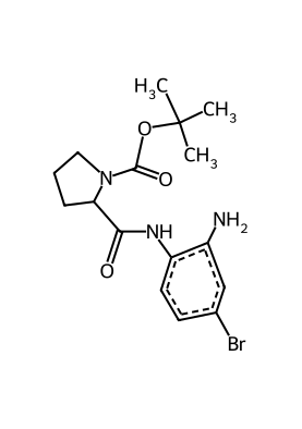 CC(C)(C)OC(=O)N1CCCC1C(=O)Nc1ccc(Br)cc1N